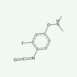 C[SiH](C)Oc1ccc(N=C=O)c(F)c1